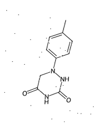 Cc1ccc(N2CC(=O)NC(=O)N2)cc1